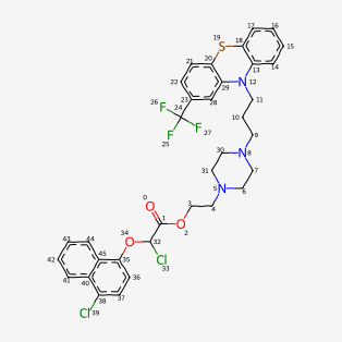 O=C(OCCN1CCN(CCCN2c3ccccc3Sc3ccc(C(F)(F)F)cc32)CC1)C(Cl)Oc1ccc(Cl)c2ccccc12